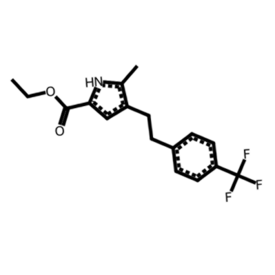 CCOC(=O)c1cc(CCc2ccc(C(F)(F)F)cc2)c(C)[nH]1